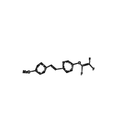 COc1ccc(/C=C/c2ccc(OC(F)=C(F)F)cc2)cc1